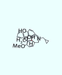 CO[C@]12C=CC3(CC1(C)[C@@H](O)c1ccccc1)C1Cc4ccc(O)c5c4[C@@]3(CCN1CC1CC1)[C@@H]2O5